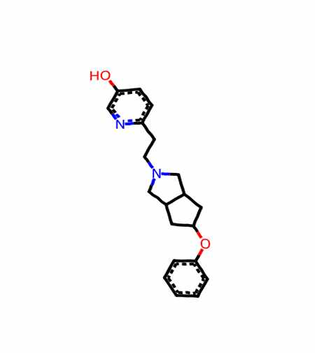 Oc1ccc(CCN2CC3CC(Oc4ccccc4)CC3C2)nc1